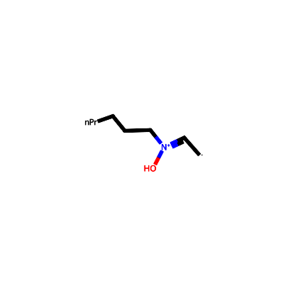 [CH2]C=[N+](O)CCCCCC